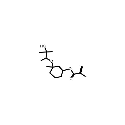 C=C(C)C(=O)OC1CCCC(C)(OC(C)C(C)(C)O)C1